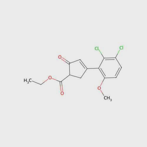 CCOC(=O)C1CC(c2c(OC)ccc(Cl)c2Cl)=CC1=O